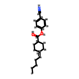 CCCCC[SiH]1CCC(C(=O)Oc2ccc(C#N)cc2)CC1